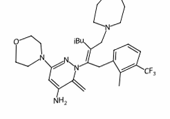 C=C1C(N)=CC(N2CCOCC2)=NN1/C(Cc1cccc(C(F)(F)F)c1C)=C(/CN1CCOSCC1)C(C)CC